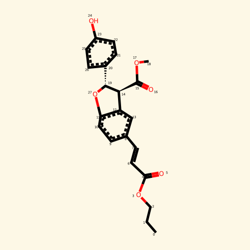 CCCOC(=O)/C=C/c1ccc2c(c1)[C@H](C(=O)OC)[C@@H](c1ccc(O)cc1)O2